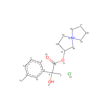 Cc1cccc(C(C)(O)C(=O)OC2CC[N+]3(CCCC3)C2)c1.[Cl-]